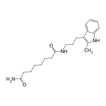 Cc1[nH]c2ccccc2c1CCCNC(=O)CCCCCCC(N)=O